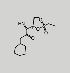 CC[C@@H](OS(=O)(=O)CC)C(=N)C(=O)CC1CCCCC1